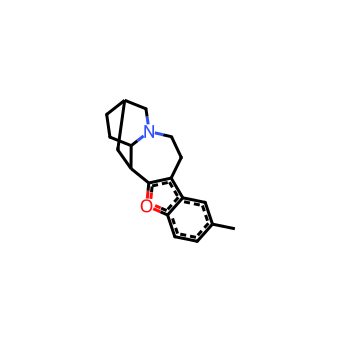 Cc1ccc2oc3c(c2c1)CCN1CC2CCC1C3C2